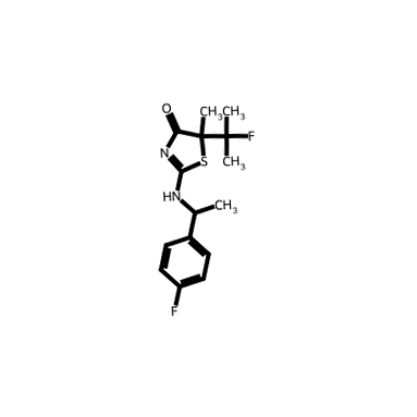 CC(NC1=NC(=O)C(C)(C(C)(C)F)S1)c1ccc(F)cc1